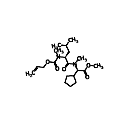 C=CCOC(=O)N(C)[C@@H](CC(C)C)C(=O)N(C)[C@@H](C(=O)OC)C1CCCC1